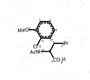 CC(=O)NC(CC(C)C)C(=O)O.COc1ccccc1Cl